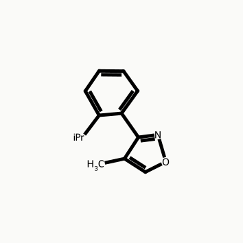 Cc1conc1-c1ccccc1C(C)C